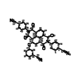 N#Cc1ccc(N2C(=O)c3ccc4c5c(c(Oc6cccc(C#N)c6)cc(c35)C2=O)C(=O)N(c2ccc(C#N)cc2)C4=O)cc1